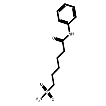 NS(=O)(=O)CCCCCC(=O)Nc1ccccc1